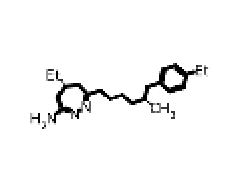 CCc1ccc(C[C@H](C)CCCCC2=NN=C(N)C[C@H](CC)C2)cc1